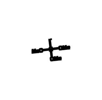 [CH2][Si](OC)(OC)OC